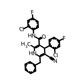 CC1=C(C(=O)Nc2ccc(F)cc2Cl)C(c2ccc(F)cc2Cl)C(C#N)=C(Cc2ccccc2)N1